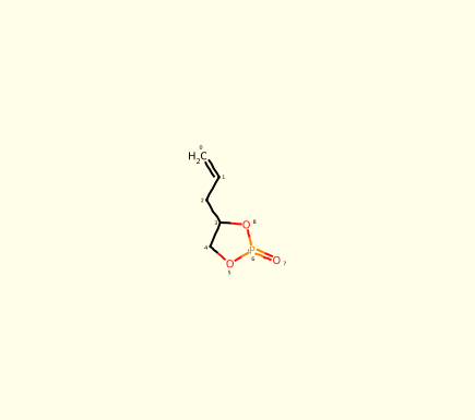 C=CCC1CO[P](=O)O1